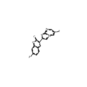 O=c1oc2cc(F)ccc2cc1-c1cn2cc(F)cnc2n1